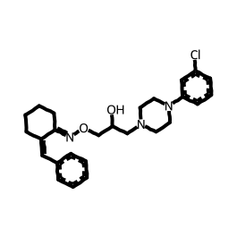 OC(CO/N=C1\CCCC\C1=C\c1ccccc1)CN1CCN(c2cccc(Cl)c2)CC1